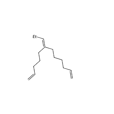 C=CCCCCC(=CCC)CCCC=C